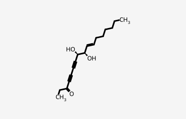 CCCCCC/C=C/[C@@H](O)[C@H](O)C#CC#CC(=O)CC